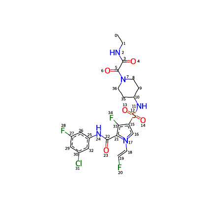 CCNC(=O)C(=O)N1CCC(NS(=O)(=O)c2cn(/C=C/F)c(C(=O)Nc3cc(F)cc(Cl)c3)c2F)CC1